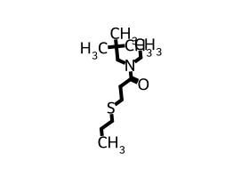 CCCSCCC(=O)N(CC)CC(C)(C)C